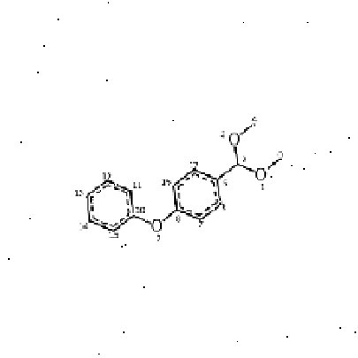 COC(OC)c1ccc(Oc2ccccc2)cc1